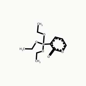 CCO[Si](OCC)(OCC)c1cccoc1=O